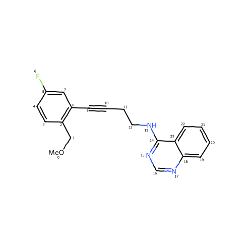 COCc1ccc(F)cc1C#CCCNc1ncnc2ccccc12